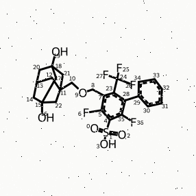 O=S(=O)(O)c1c(F)c(COCC23CC4CC(O)(CC(O)(C4)C2)C3)c(C(F)(F)F)c(-c2ccccc2)c1F